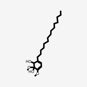 CCCCCCCCCCCCCCCC1=CC=C(OC)C(O)(OC)C1O